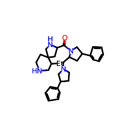 CCC1CNCCC12CNC(C(=O)N1CC(c3ccccc3)CC1CN1CCC(c3ccccc3)C1)C2